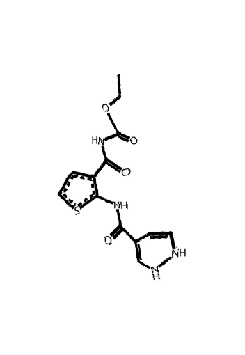 CCOC(=O)NC(=O)c1ccsc1NC(=O)C1=CNNC=C1